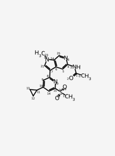 CC(=O)Nc1cc2c(-c3cc(C4CC4)cc(S(C)(=O)=O)n3)cn(C)c2cn1